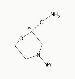 CC(C)N1CCO[C@H](CN)C1